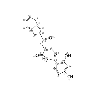 N#Cc1cnc(-c2ncc(CC(=O)N3C=C4CC=CC=C4C3)c(=O)[nH]2)c(O)c1